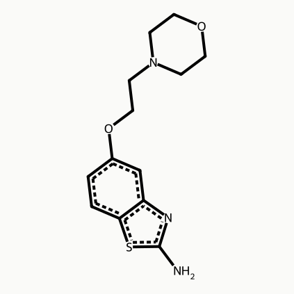 Nc1nc2cc(OCCN3CCOCC3)ccc2s1